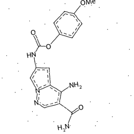 COc1ccc(OC(=O)Nc2cc3c(N)c(C(N)=O)cnn3c2)cc1